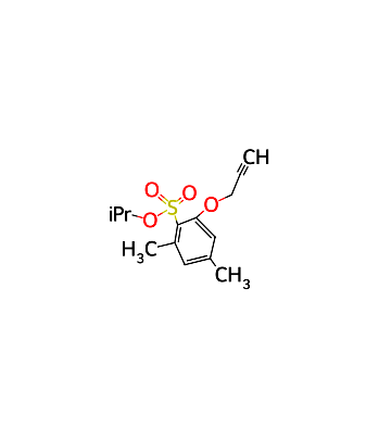 C#CCOc1cc(C)cc(C)c1S(=O)(=O)OC(C)C